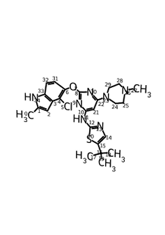 Cc1cc2c(Cl)c(Oc3nc(Nc4ncc(C(C)(C)C)s4)cc(N4CCN(C)CC4)n3)ccc2[nH]1